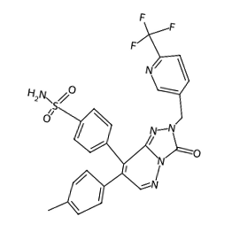 Cc1ccc(-c2cnn3c(=O)n(Cc4ccc(C(F)(F)F)nc4)nc3c2-c2ccc(S(N)(=O)=O)cc2)cc1